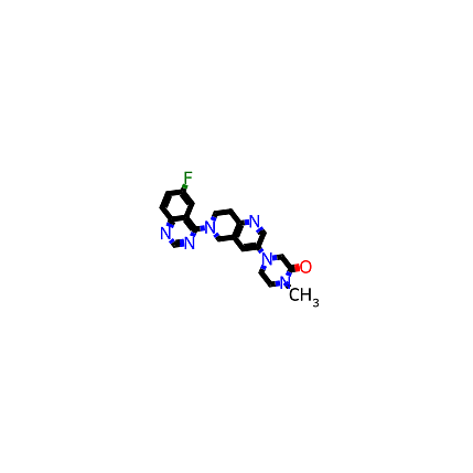 CN1CCN(c2cnc3c(c2)CN(c2ncnc4ccc(F)cc24)CC3)CC1=O